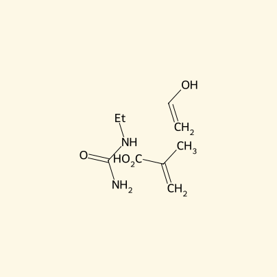 C=C(C)C(=O)O.C=CO.CCNC(N)=O